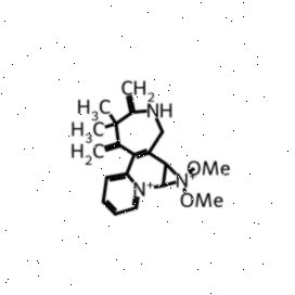 C=C1NCC2=C(C(=C)C1(C)C)c1cccc[n+]1C1C2[N+]1(OC)OC